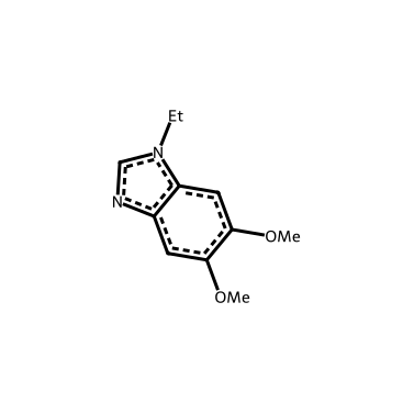 CCn1cnc2cc(OC)c(OC)cc21